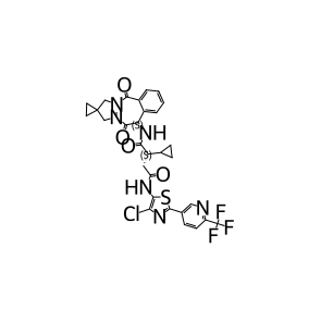 O=C(C[C@H](C(=O)N[C@@H]1C(=O)N2CC3(CC3)CN2C(=O)c2ccccc21)C1CC1)Nc1sc(-c2ccc(C(F)(F)F)nc2)nc1Cl